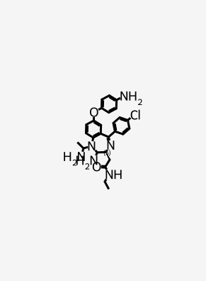 CCNC(=O)C[C@@H]1N=C(c2ccc(Cl)cc2)c2cc(Oc3ccc(N)cc3)ccc2N(C(C)N)C1N